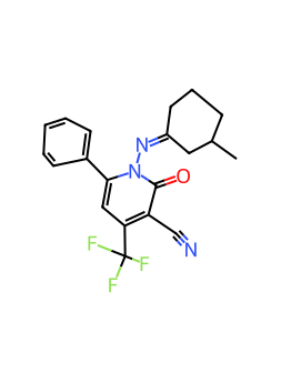 CC1CCCC(=Nn2c(-c3ccccc3)cc(C(F)(F)F)c(C#N)c2=O)C1